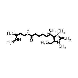 C=C(CCNC(=O)CCCC[C@H](C)C1C(CC)N(C)C(=C)N1C)NN